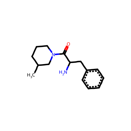 CC1CCCN(C(=O)C(N)Cc2ccccc2)C1